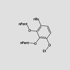 CCCCCOc1c(CCCC)ccc(OCC)c1OCCCCC